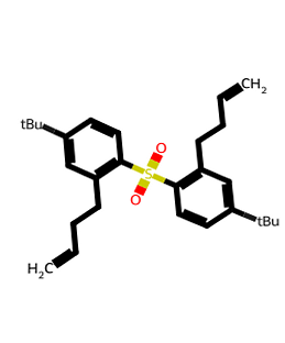 C=CCCc1cc(C(C)(C)C)ccc1S(=O)(=O)c1ccc(C(C)(C)C)cc1CCC=C